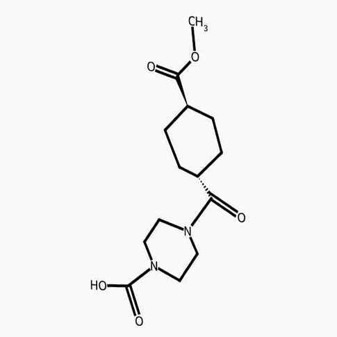 COC(=O)[C@H]1CC[C@H](C(=O)N2CCN(C(=O)O)CC2)CC1